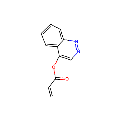 C=CC(=O)Oc1cnnc2ccccc12